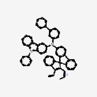 C=CC1=C(/C=C\C)C2(c3ccccc31)c1ccccc1-c1ccc(N(c3cccc(-c4ccccc4)c3)c3ccc4c(c3)c3ccccc3n4-c3ccccc3)cc12